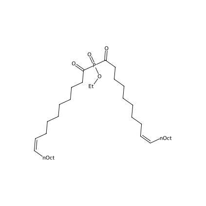 CCCCCCCC/C=C\CCCCCCCC(=O)P(=O)(OCC)C(=O)CCCCCCC/C=C\CCCCCCCC